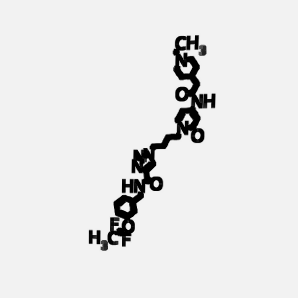 CCN1CCC(CC(=O)Nc2ccn(CCCCn3cc(C(=O)NCc4cccc(OC(C)(F)F)c4)nn3)c(=O)c2)CC1